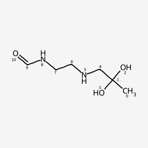 CC(O)(O)CNCCNC=O